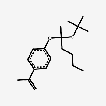 C=C(C)c1ccc(OC(C)(CCCC)OC(C)(C)C)cc1